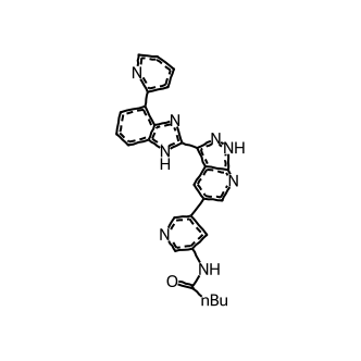 CCCCC(=O)Nc1cncc(-c2cnc3[nH]nc(-c4nc5c(-c6ccccn6)cccc5[nH]4)c3c2)c1